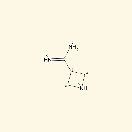 N=C(N)C1CNC1